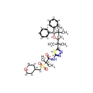 CC(C)(CO[Si](c1ccccc1)(c1ccccc1)C(C)(C)C)c1nnc(NC(=O)C(C)(C)S(=O)(=O)CC2CCOCC2)s1